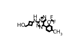 Cc1ccc(-c2nnc(NC3CC(CO)C3)n3cncc23)c(OC(F)F)c1